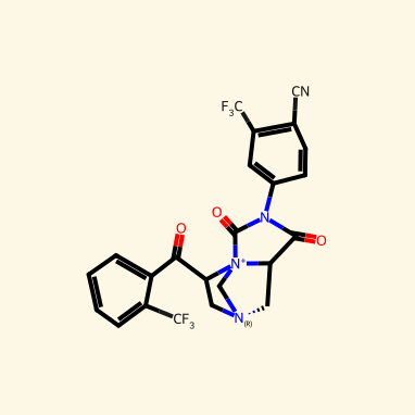 N#Cc1ccc(N2C(=O)C3C[N@]4CC(C(=O)c5ccccc5C(F)(F)F)[N+]3(C4)C2=O)cc1C(F)(F)F